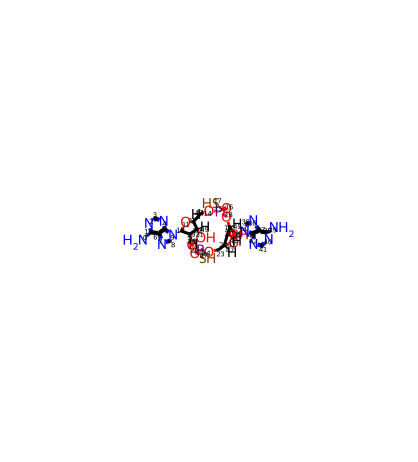 Nc1ncnc2c1ncn2[C@@H]1O[C@@H]2CO[P@@](=O)(S)O[C@@H]3[C@H](O)[C@@H](CO[P@@](=O)(S)O[C@@H]1[C@@H]2O)O[C@H]3n1cnc2c(N)ncnc21